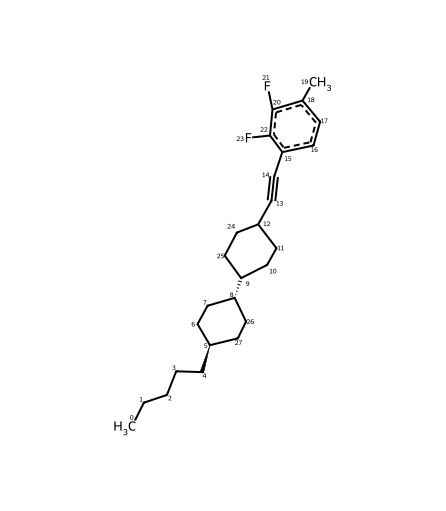 CCCCC[C@H]1CC[C@H](C2CCC(C#Cc3ccc(C)c(F)c3F)CC2)CC1